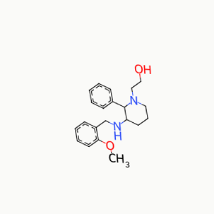 COc1ccccc1CNC1CCCN(CCO)C1c1ccccc1